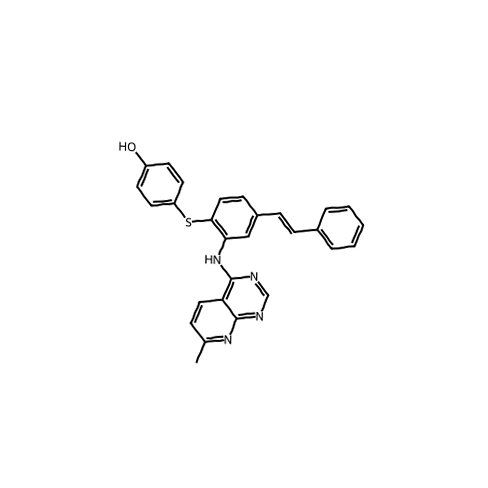 Cc1ccc2c(Nc3cc(C=Cc4ccccc4)ccc3Sc3ccc(O)cc3)ncnc2n1